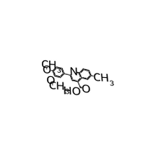 COc1ccc(-c2cc(C(=O)O)c3cc(C)ccc3n2)cc1OC